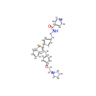 O=C(NCCc1ccc(-c2sc3ccccc3c2Cc2ccc(OCCN3CCCC3)cc2)cc1)c1ccncc1